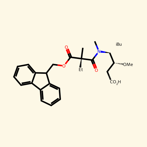 CC[C@H](C)[C@@H]([C@@H](CC(=O)O)OC)N(C)C(=O)[C@](C)(CC)C(=O)OCC1c2ccccc2-c2ccccc21